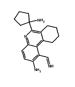 N=Cc1c(N)ccc2nc(C3(N)CCCC3)c3c(c12)CCCC3